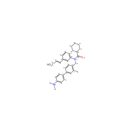 Cc1cc(-c2ccc(N(C)C)cc2)ccc1CN(C(=O)C1CCCCC1)c1cccc(C=CC(=O)O)c1